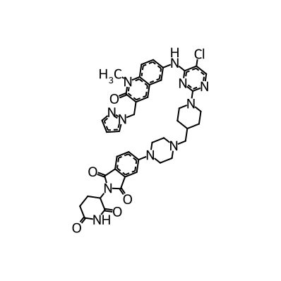 Cn1c(=O)c(Cn2cccn2)cc2cc(Nc3nc(N4CCC(CN5CCN(c6ccc7c(c6)C(=O)N(C6CCC(=O)NC6=O)C7=O)CC5)CC4)ncc3Cl)ccc21